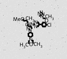 COCC(C)COc1nn(C2CCC(N3C[C@@H](C)O[C@@H](C)C3)CC2)cc1Nc1ncc(-c2ccc(Cl)c(OC(C)Cn3cnnn3)c2)cn1